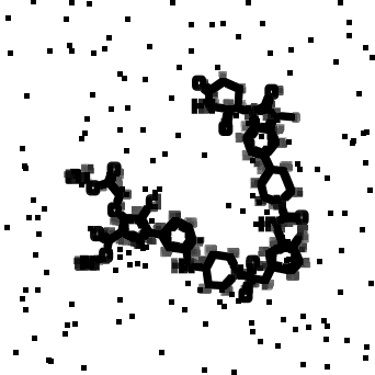 Cn1c(=O)n(C2CCC(=O)NC2=O)c2ccc(C3CCN(C(=O)Nc4cc(CS(=O)(=O)N5CCC(Nc6cccc(-c7sc(C(=O)OC(C)(C)C)c(OCC(=O)OC(C)(C)C)c7Cl)c6)CC5)ccc4F)CC3)cc21